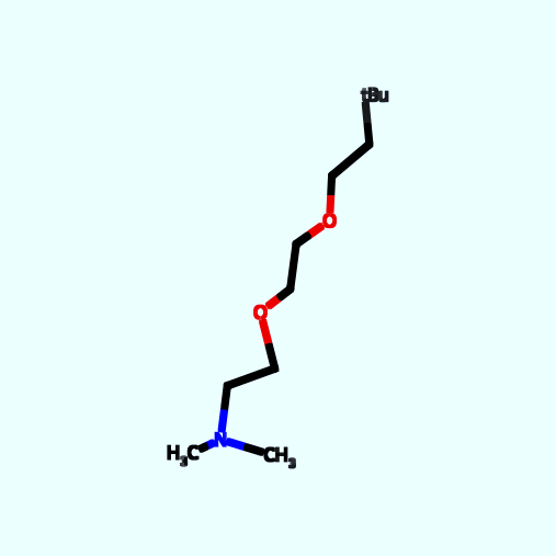 CN(C)CCOCCOCCC(C)(C)C